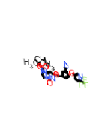 CC(C)(C)OC(=O)N1CCn2c1cc(OCc1ccc(Oc3ccc(C(F)(F)F)nc3)c(C#N)c1)nc2=O